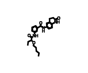 CCCCCOC(CC)C(=O)Nc1cccc(C(=O)Nc2ccc3c(c2)CCC(=O)N3)c1